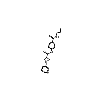 CCCNC(=O)c1ccc(NC(=O)C2CN(c3cccnn3)C2)cc1